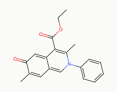 CCOC(=O)c1c2cc(=O)c(C)cc-2cn(-c2ccccc2)c1C